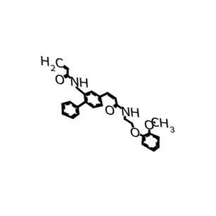 C=CC(=O)NCc1cc(/C=C\C(=O)NCCOc2ccccc2OC)ccc1-c1ccccc1